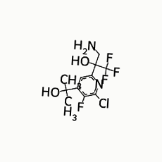 CC(C)(O)c1cc(C(O)(CN)C(F)(F)F)nc(Cl)c1F